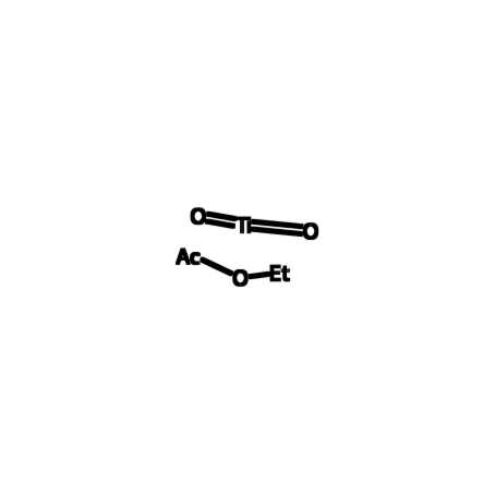 CCOC(C)=O.[O]=[Ti]=[O]